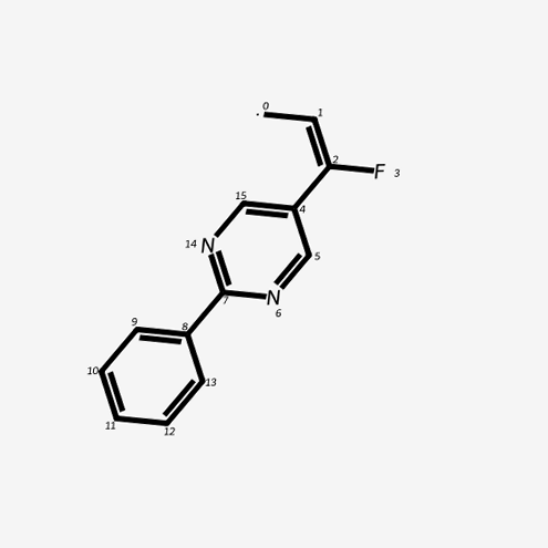 [CH2]/C=C(/F)c1cnc(-c2ccccc2)nc1